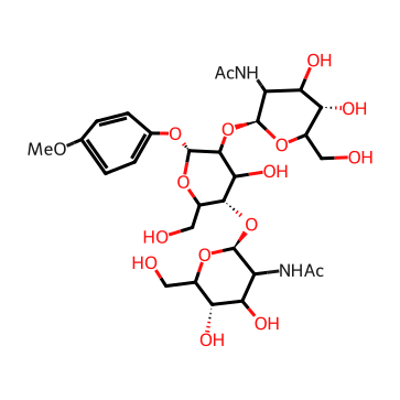 COc1ccc(O[C@H]2OC(CO)[C@@H](O[C@@H]3OC(CO)[C@@H](O)C(O)C3NC(C)=O)C(O)C2O[C@@H]2OC(CO)[C@@H](O)C(O)C2NC(C)=O)cc1